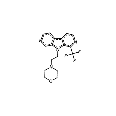 FC(F)(F)c1nccc2c3ccncc3n(CCN3CCOCC3)c12